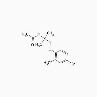 CC(=O)OC(C)(C)COc1ccc(Br)cc1C